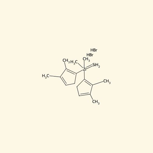 Br.Br.CC1=CC[C]([Zr]([CH3])([CH3])(=[SiH2])[C]2=C(C)C(C)=CC2)=C1C